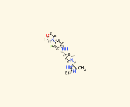 CCc1nc(C)c(CN2CC3C(CNc4ccc(N5CCOCC5)c(F)c4)C3C2)[nH]1